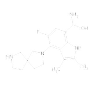 Cc1[nH]c2c(C(N)O)cc(F)c(N3CCC4(CCNC4)C3)c2c1C